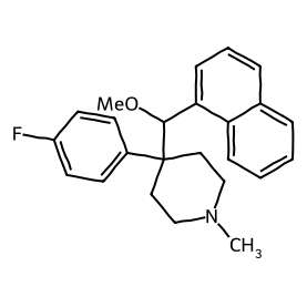 COC(c1cccc2ccccc12)C1(c2ccc(F)cc2)CCN(C)CC1